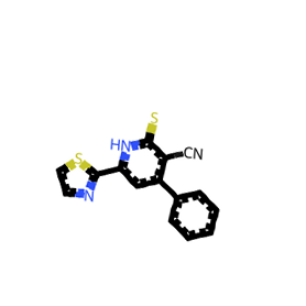 N#Cc1c(-c2ccccc2)cc(-c2nccs2)[nH]c1=S